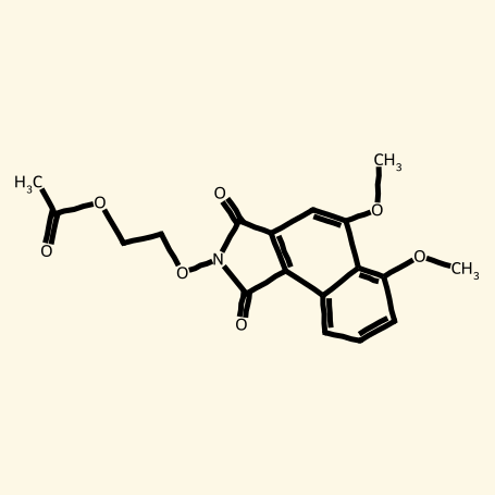 COc1cccc2c3c(cc(OC)c12)C(=O)N(OCCOC(C)=O)C3=O